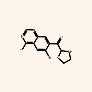 O=C(c1cc2ncnc(Cl)c2cc1Br)C1NCCS1